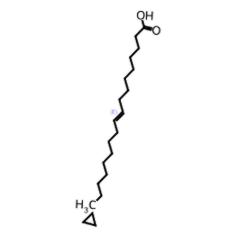 C1CC1.CCCCCCCC/C=C/CCCCCCCC(=O)O